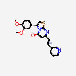 COc1ccc(-c2csc3nc(/C=C/c4cccnc4)cc(=O)n23)cc1OC